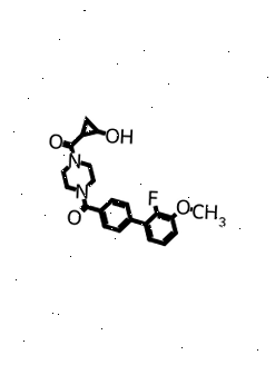 COc1cccc(-c2ccc(C(=O)N3CCN(C(=O)C4CC4O)CC3)cc2)c1F